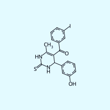 CC1=C(C(=O)c2cccc(I)c2)C(c2cccc(O)c2)NC(=S)N1